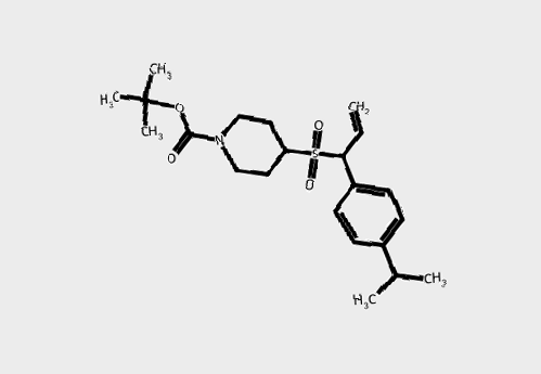 C=CC(c1ccc(C(C)C)cc1)S(=O)(=O)C1CCN(C(=O)OC(C)(C)C)CC1